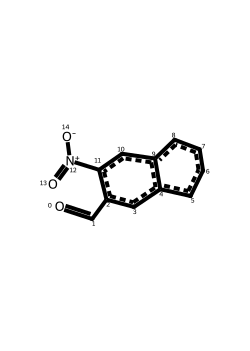 O=Cc1cc2ccccc2cc1[N+](=O)[O-]